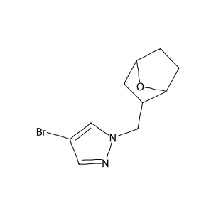 Brc1cnn(CC2CC3CCC2O3)c1